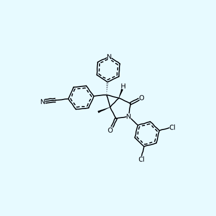 C[C@]12C(=O)N(c3cc(Cl)cc(Cl)c3)C(=O)[C@H]1[C@]2(c1ccncc1)c1ccc(C#N)cc1